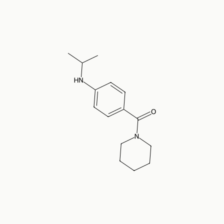 CC(C)Nc1ccc(C(=O)N2CCCCC2)cc1